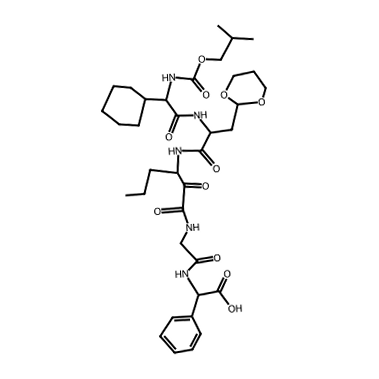 CCCC(NC(=O)C(CC1OCCCO1)NC(=O)C(NC(=O)OCC(C)C)C1CCCCC1)C(=O)C(=O)NCC(=O)NC(C(=O)O)c1ccccc1